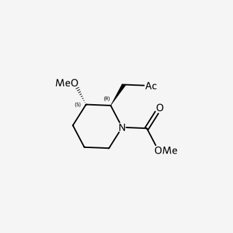 COC(=O)N1CCC[C@H](OC)[C@H]1CC(C)=O